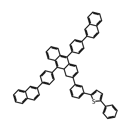 C1=C(c2cccc(-c3ccc(-c4ccccc4)s3)c2)CC2C(=C1)C(c1ccc(-c3ccc4ccccc4c3)cc1)=c1ccccc1=C2c1ccc(-c2ccc3ccccc3c2)cc1